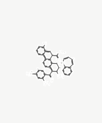 C1=CNc2ccccc2C=C1.COC(=O)C1C=c2c(Cl)cccc2=c2ccc3c(c21)CCC(C)C=3C(=O)c1ccc(N)cc1C